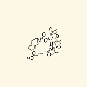 COC(=O)[C@@H]1C[C@@H](OC(=O)N2CCc3ccccc3C2)CC1C(=O)[C@@H](NC(=O)[C@@H](NC(=O)CCCCC(=O)O)C(C)C)C(C)C